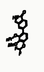 CCCOc1c(-c2ccc3c(c2)CNC3=O)ccc(OC(F)F)c1OC